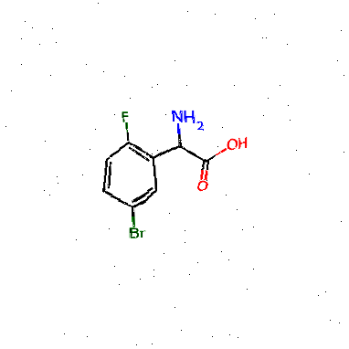 NC(C(=O)O)c1cc(Br)ccc1F